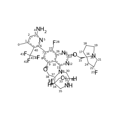 Cc1cc(N)nc(-c2cc3c4c(nc(OC[C@@]56CCCN5C[C@H](F)C6)nc4c2F)N2C[C@H]4CC[C@H](CN4)[C@H]2CO3)c1C(F)(F)F